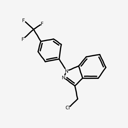 FC(F)(F)c1ccc(-n2nc(CCl)c3ccccc32)cc1